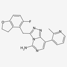 Cc1ncccc1-c1cnc(N)n2c(Cc3c(F)ccc4c3CCO4)nnc12